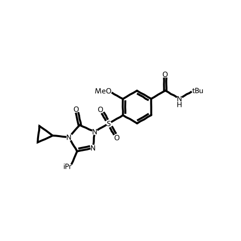 COc1cc(C(=O)NC(C)(C)C)ccc1S(=O)(=O)n1nc(C(C)C)n(C2CC2)c1=O